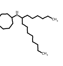 CCCCCCCCC(BC1CCCCCCC1)CCCCCC